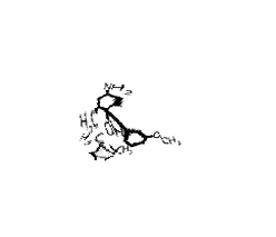 CNC.COc1cccc(C2(O)CCC(N)CC2C)c1